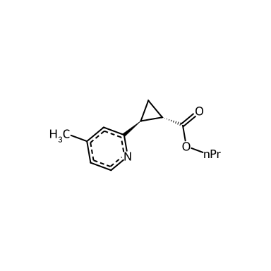 CCCOC(=O)[C@H]1C[C@@H]1c1cc(C)ccn1